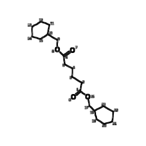 O=C(CCCCC(=O)OCC1CCCCC1)OCC1CCCCC1